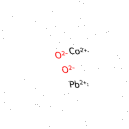 [Co+2].[O-2].[O-2].[Pb+2]